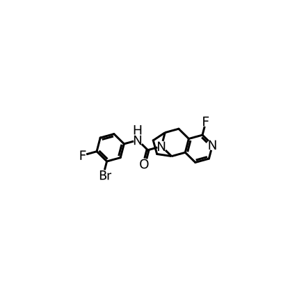 O=C(Nc1ccc(F)c(Br)c1)N1C2CCC1c1ccnc(F)c1C2